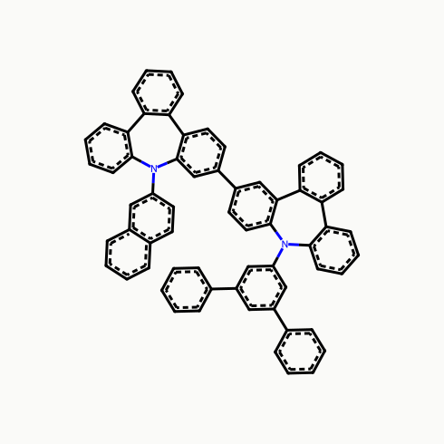 c1ccc(-c2cc(-c3ccccc3)cc(N3c4ccccc4-c4ccccc4-c4cc(-c5ccc6c(c5)N(c5ccc7ccccc7c5)c5ccccc5-c5ccccc5-6)ccc43)c2)cc1